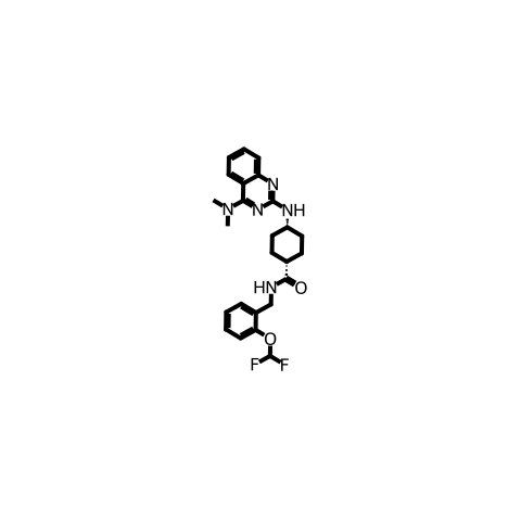 CN(C)c1nc(N[C@H]2CC[C@@H](C(=O)NCc3ccccc3OC(F)F)CC2)nc2ccccc12